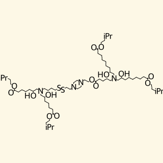 CC(C)CCOC(=O)CCCCCCC(O)CN(CCCCC(=O)OCCN1CCN(CCSSCCCCN(CC(O)CCCCC(=O)OCCC(C)C)CC(O)CCCCC(=O)OCCC(C)C)CC1)CC(O)CCCCCCC(=O)OCCC(C)C